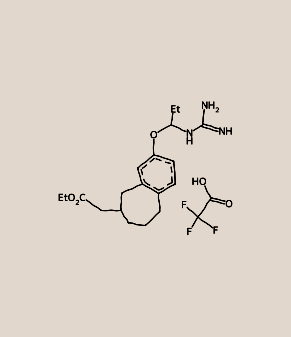 CCOC(=O)CC1CCCc2ccc(OC(CC)NC(=N)N)cc2C1.O=C(O)C(F)(F)F